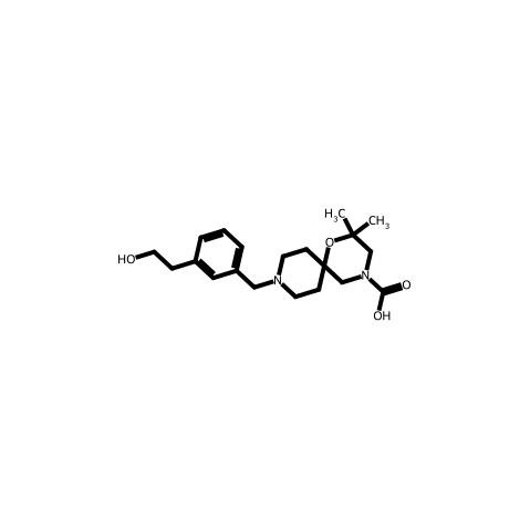 CC1(C)CN(C(=O)O)CC2(CCN(Cc3cccc(CCO)c3)CC2)O1